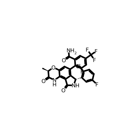 C[C@H]1Oc2cc(-c3c(F)cc(C(F)(F)F)cc3C(N)=O)c3c(c2NC1=O)C(=O)N[C@H]3c1cc(F)ccc1Cl